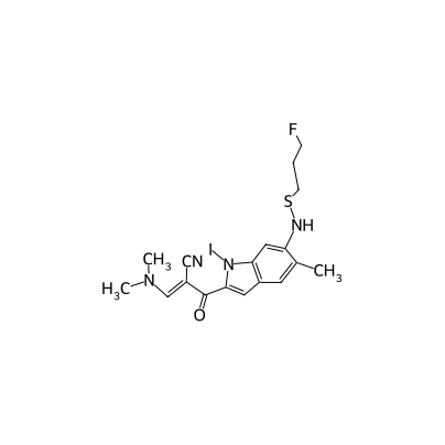 Cc1cc2cc(C(=O)/C(C#N)=C/N(C)C)n(I)c2cc1NSCCCF